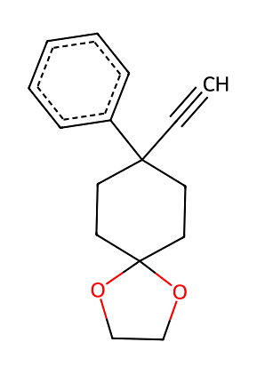 C#CC1(c2ccccc2)CCC2(CC1)OCCO2